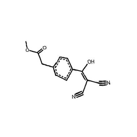 COC(=O)Cc1ccc(C(O)=C(C#N)C#N)cc1